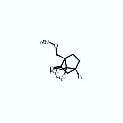 CCCCOC[C@]12CC[C@H](CC1=O)C2(C)C